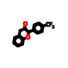 O=C1Cc2ccccc2OC1c1ccc(C(F)(F)F)cc1